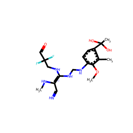 CN/C(C=N)=C(/NCNc1ccc(C(C)(O)O)c(C)c1OC)NCC(F)(F)C=O